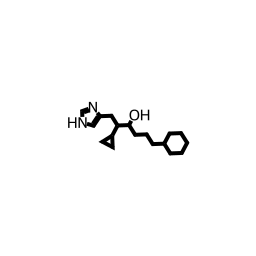 OC(CCCC1CCCCC1)C(Cc1c[nH]cn1)C1CC1